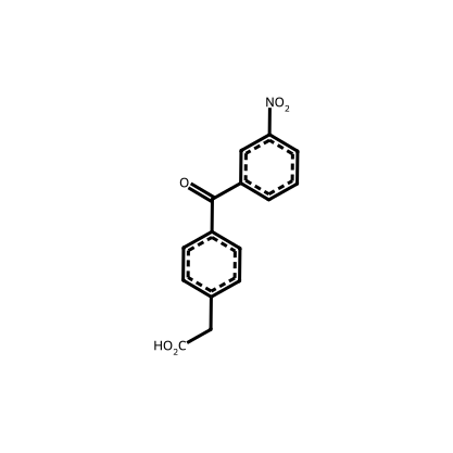 O=C(O)Cc1ccc(C(=O)c2cccc([N+](=O)[O-])c2)cc1